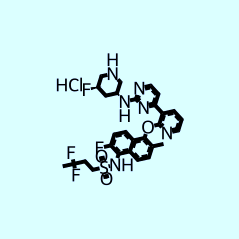 Cc1ccc2c(NS(=O)(=O)CCC(C)(F)F)c(F)ccc2c1Oc1ncccc1-c1ccnc(N[C@H]2CNC[C@H](F)C2)n1.Cl